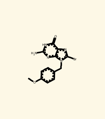 COc1ccc(Cn2c(Br)nc3c(=O)[nH]c(N)nc32)cc1